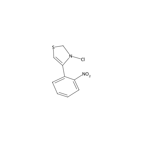 O=[N+]([O-])c1ccccc1C1=CSCN1Cl